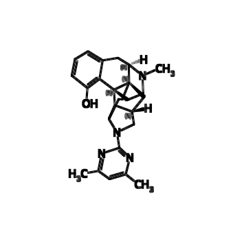 Cc1cc(C)nc(N2C[C@H]3C[C@@]45CCC2C3[C@@]42CCN(C)[C@@H]5Cc3cccc(O)c32)n1